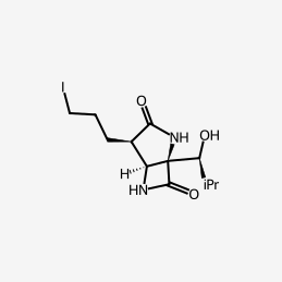 CC(C)[C@H](O)[C@@]12NC(=O)[C@H](CCCI)[C@@H]1NC2=O